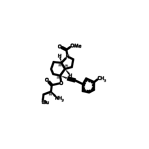 COC(=O)N1CC[C@@H]2[C@H]1CCC[C@]2(C#Cc1cccc(C)c1)OC(=O)[C@@H](N)CC(C)(C)C